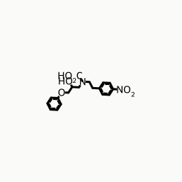 O=C(O)N(CCc1ccc([N+](=O)[O-])cc1)CC(O)COc1ccccc1